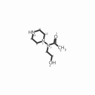 CC(=O)N(CCO)N1CCNCC1